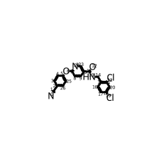 N#Cc1ccc(Oc2ccc(C(=O)NCc3ccc(Cl)cc3Cl)cn2)cc1